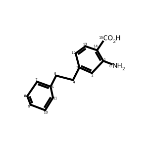 Nc1cc(CCc2ccccc2)ccc1C(=O)O